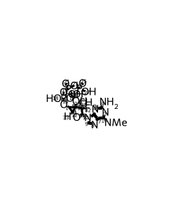 CNc1nc(N)nc2c1ncn2[C@@H]1O[C@@H]2C(OP(=O)(O)OP(=O)(O)OP(=O)(O)O)[C@]2(O)[C@@]1(C)F